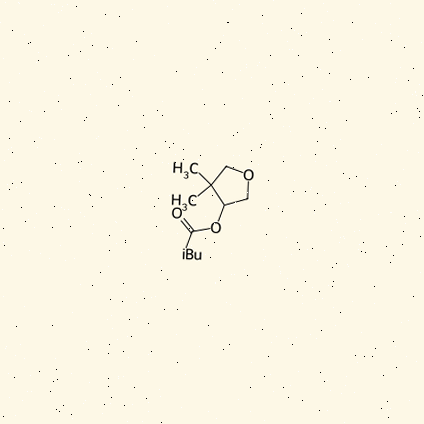 CCC(C)C(=O)OC1COCC1(C)C